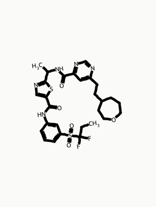 CCC(F)(F)S(=O)(=O)c1cccc(NC(=O)c2cnc(C(C)NC(=O)c3cc(CCC4CCCOCC4)ncn3)s2)c1